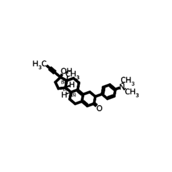 CC#CC1(O)CC[C@H]2[C@@H]3CCC4=CC(=O)C(c5ccc(N(C)C)cc5)CC4=C3CC[C@@]21C